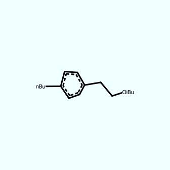 CCCCc1ccc(CCOCC(C)C)cc1